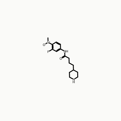 C[S+]([O-])c1ccc(NC(=O)CCCC2CCNCC2)cc1F